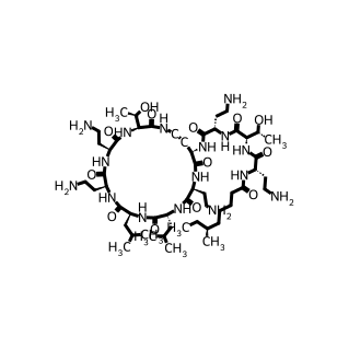 CC[C@H](C)CCCCC(=O)N[C@@H](CCN)C(=O)N[C@H](C(=O)N[C@@H](CCN)C(=O)N[C@H]1CCNC(=O)[C@H]([C@@H](C)O)NC(=O)[C@H](CCN)NC(=O)[C@H](CCN)NC(=O)[C@H](CC(C)C)NC(=O)[C@@H](CC(C)C)NC(=O)[C@H](CCN)NC1=O)[C@@H](C)O